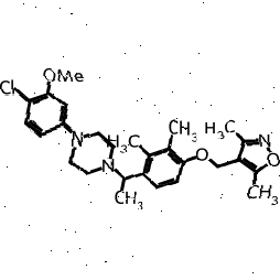 COc1cc(N2CCN(C(C)c3ccc(OCc4c(C)noc4C)c(C)c3C)CC2)ccc1Cl